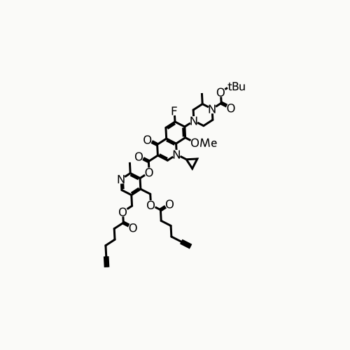 C#CCCCC(=O)OCc1cnc(C)c(OC(=O)c2cn(C3CC3)c3c(OC)c(N4CCN(C(=O)OC(C)(C)C)C(C)C4)c(F)cc3c2=O)c1COC(=O)CCCC#C